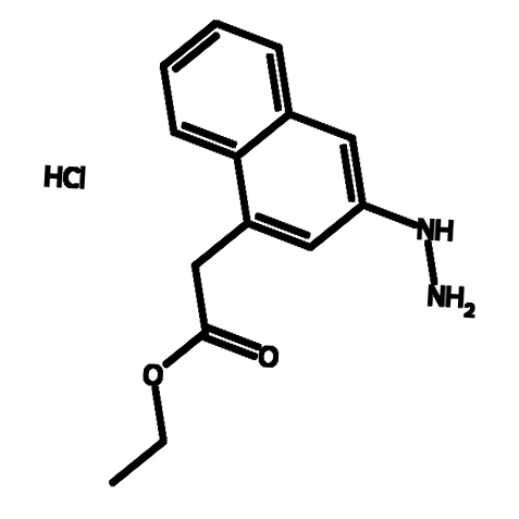 CCOC(=O)Cc1cc(NN)cc2ccccc12.Cl